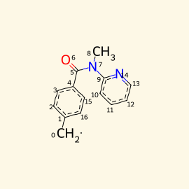 [CH2]c1ccc(C(=O)N(C)c2ccccn2)cc1